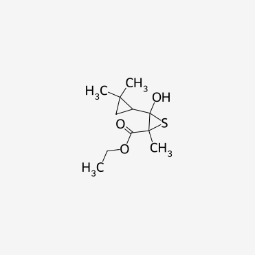 CCOC(=O)C1(C)SC1(O)C1CC1(C)C